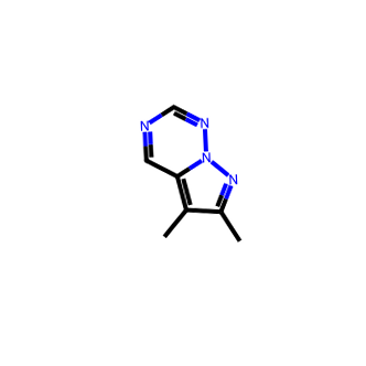 Cc1nn2ncncc2c1C